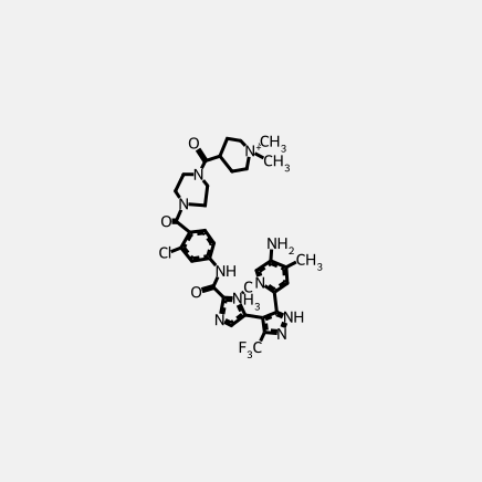 Cc1cc(-c2[nH]nc(C(F)(F)F)c2-c2cnc(C(=O)Nc3ccc(C(=O)N4CCN(C(=O)C5CC[N+](C)(C)CC5)CC4)c(Cl)c3)n2C)ncc1N